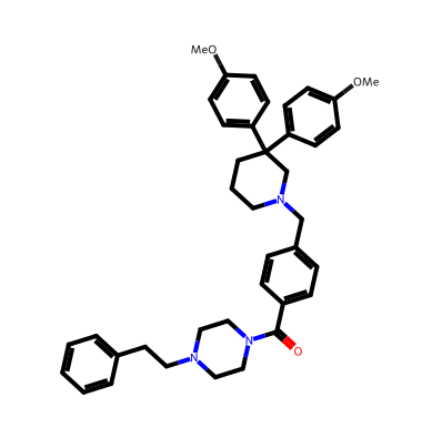 COc1ccc(C2(c3ccc(OC)cc3)CCCN(Cc3ccc(C(=O)N4CCN(CCc5ccccc5)CC4)cc3)C2)cc1